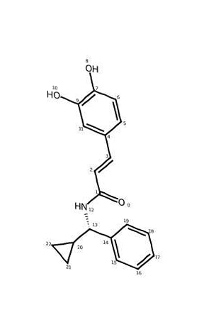 O=C(/C=C/c1ccc(O)c(O)c1)N[C@H](c1ccccc1)C1CC1